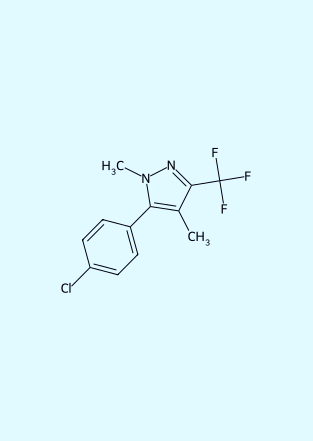 Cc1c(C(F)(F)F)nn(C)c1-c1ccc(Cl)cc1